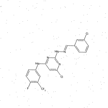 Fc1ccc(Nc2cc(Cl)nc(N/N=C/c3cccc(Cl)c3)n2)cc1C(F)(F)F